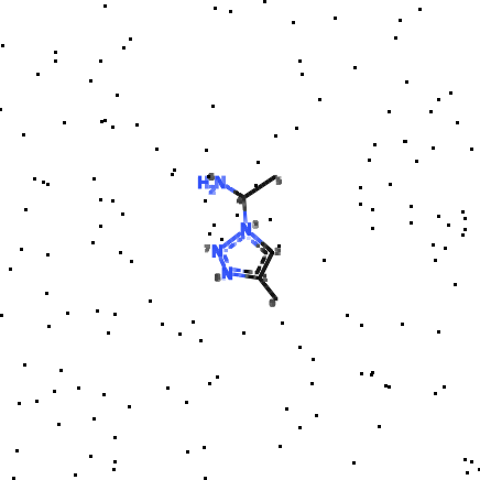 Cc1cn(C(C)N)nn1